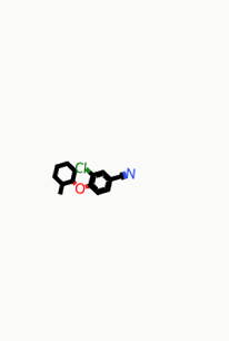 CC1CCCCC1Oc1ccc(C#N)cc1Cl